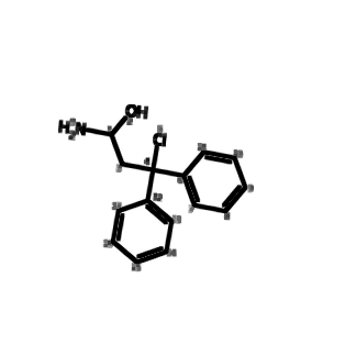 NC(O)CC(Cl)(c1ccccc1)c1ccccc1